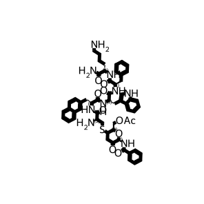 CC(=O)OC[C@H]1O[C@@H](NC(=O)c2ccccc2)C(=O)CC1SC[C@@H](N)C(=O)N[C@H](Cc1ccc2ccccc2c1)C(=O)N[C@@H](Cc1c[nH]c2ccccc12)C(=O)N[C@H](Cc1ccccc1)C(=O)N[C@@H](CCCCN)C(N)=O